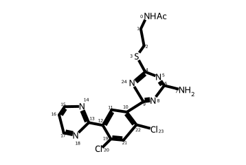 CC(=O)NCCSc1nc(N)nc(-c2cc(-c3ncccn3)c(Cl)cc2Cl)n1